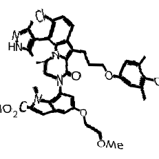 COCCOc1cc(N2C[C@@H](C)n3c(c(CCCOc4cc(C)c(Cl)c(C)c4)c4ccc(Cl)c(-c5c(C)n[nH]c5C)c43)C2=O)c2c(c1)cc(C(=O)O)n2C